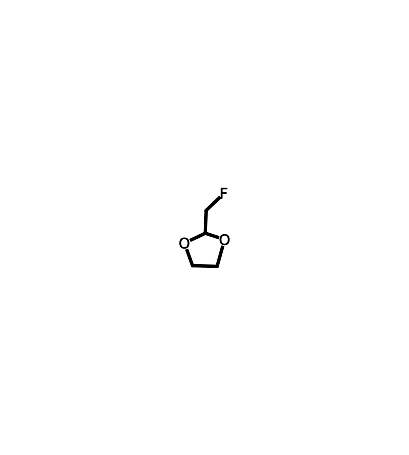 FCC1OCCO1